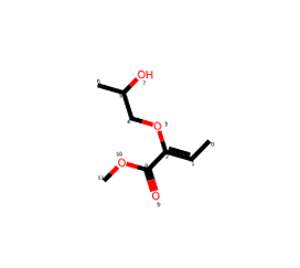 CC=C(OCC(C)O)C(=O)OC